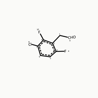 O=CCc1c(F)ccc(Cl)c1F